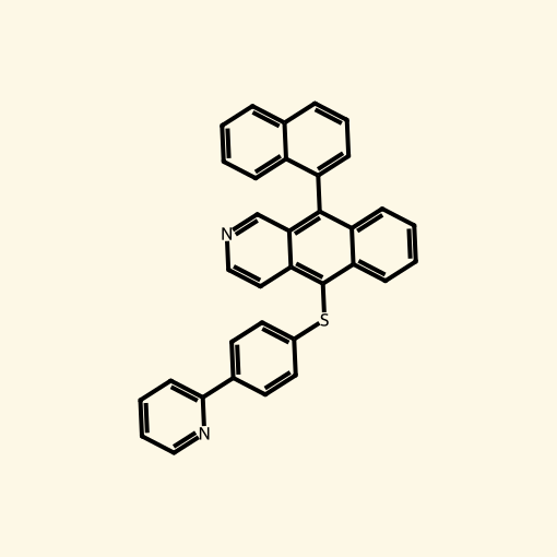 c1ccc(-c2ccc(Sc3c4ccccc4c(-c4cccc5ccccc45)c4cnccc34)cc2)nc1